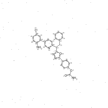 NC(=O)Oc1ccc(-c2nnc(C(Cc3ccccc3)c3ccc(-c4cc(Cl)ccc4N)cn3)o2)cc1